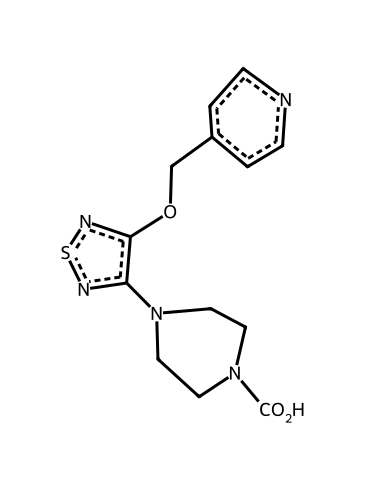 O=C(O)N1CCN(c2nsnc2OCc2ccncc2)CC1